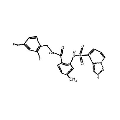 Cc1ccc(C(=O)NCc2ccc(F)cc2F)c(NS(=O)(=O)C2=CC=CN3SNC=C23)c1